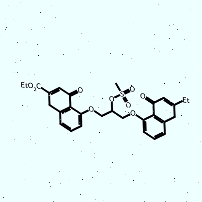 CCOC(=O)C1=CC(=O)c2c(cccc2OCC(COc2cccc3c2C(=O)C=C(CC)C3)OS(C)(=O)=O)C1